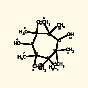 CC1(C)C(O)C(C)(C)C(C)(C)C(C)(C)C(O)C1(C)C